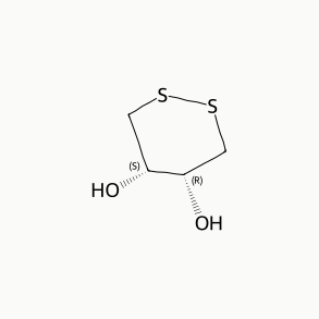 O[C@@H]1CSSC[C@@H]1O